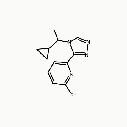 CC(C1CC1)n1cnnc1-c1cccc(Br)n1